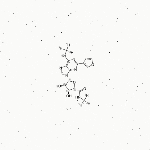 [2H]C([2H])([2H])NC(=O)[C@H]1O[C@@H](n2cnc3c(NC([2H])([2H])[2H])nc(-c4ccoc4)nc32)[C@H](O)[C@@H]1O